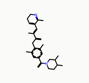 C=C(Cc1c(C)cc(C(=C)N2CCC(C)C(C)C2)cc1C)/C(C)=C/C1=CCCN=C1C